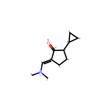 CN(C)/C=C1\CCC(C2CC2)C1=O